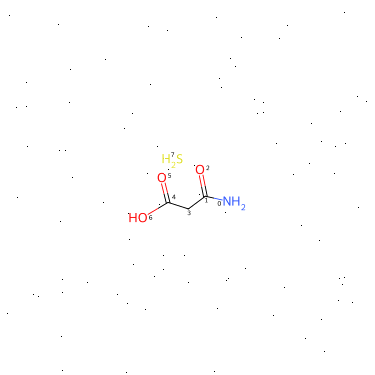 NC(=O)CC(=O)O.S